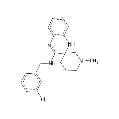 CN1CCCC2(C1)Nc1ccccc1N=C2NCc1cccc(Cl)c1